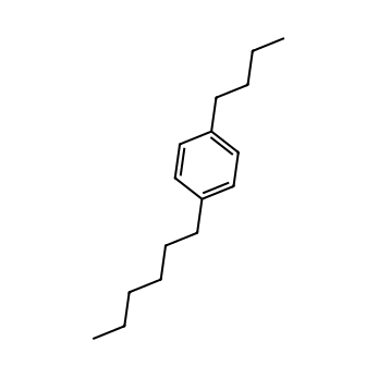 CCCCCCc1ccc(CCCC)cc1